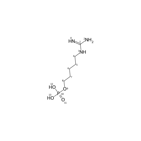 N=C(N)NCCCCCOP(=O)(O)O